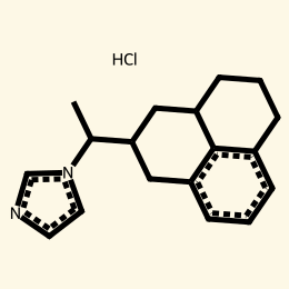 CC(C1Cc2cccc3c2C(CCC3)C1)n1ccnc1.Cl